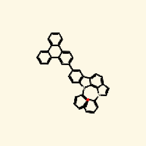 c1ccc(-n2ccc3ccc4c5cc(-c6ccc7c8ccccc8c8ccccc8c7c6)ccc5n(-c5ccccc5)c4c32)cc1